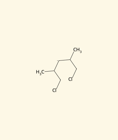 CC([CH]C(C)CCl)CCl